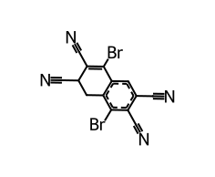 N#CC1=C(Br)c2cc(C#N)c(C#N)c(Br)c2CC1C#N